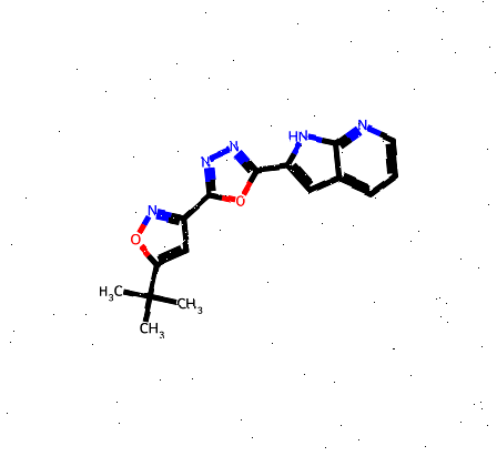 CC(C)(C)c1cc(-c2nnc(-c3cc4cccnc4[nH]3)o2)no1